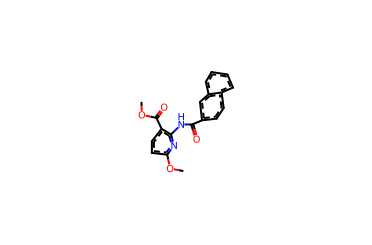 COC(=O)c1ccc(OC)nc1NC(=O)c1ccc2ccccc2c1